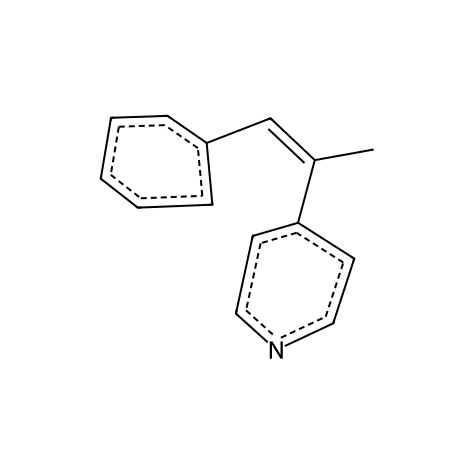 CC(=Cc1ccccc1)c1ccncc1